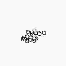 CCn1c(C)c(-c2ccc(Cl)cc2Cl)c(=O)c(C(=O)OC)c1-c1ccc(F)c(Cl)c1